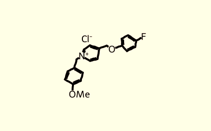 COc1ccc(C[n+]2ccc(COc3ccc(F)cc3)cc2)cc1.[Cl-]